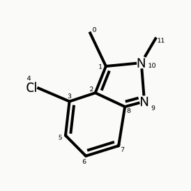 Cc1c2c(Cl)cccc2nn1C